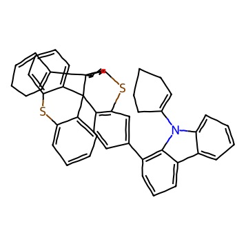 C1=CC(c2cccc3c2C2(c4ccccc4Sc4ccccc42)c2ccc(-c4cccc5c6ccccc6n(C6=CCCCC6)c45)cc2S3)=CCC1